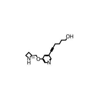 OCCCCC#Cc1cncc(OC[C@@H]2CCN2)c1